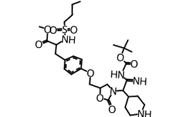 CCCCS(=O)(=O)NC(Cc1ccc(OCC2CN(C(C(=N)NC(=O)OC(C)(C)C)C3CCNCC3)C(=O)O2)cc1)C(=O)OC